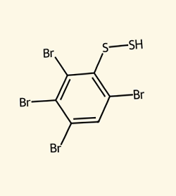 SSc1c(Br)cc(Br)c(Br)c1Br